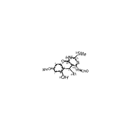 CCC(c1ccc(OC)cc1O)c1c(NC=O)nc(SC)[nH]c1=O